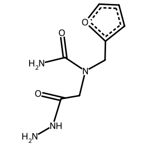 NNC(=O)CN(Cc1ccco1)C(N)=O